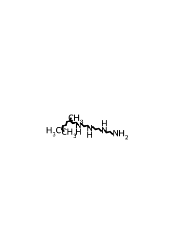 CC(C)=CCCC(C)=CCNCCCNCCCCNCCCN